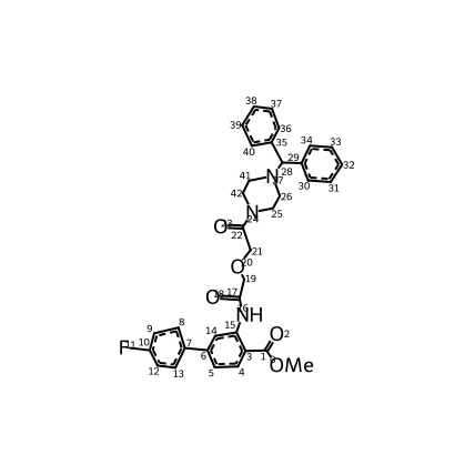 COC(=O)c1ccc(-c2ccc(F)cc2)cc1NC(=O)COCC(=O)N1CCN(C(c2ccccc2)c2ccccc2)CC1